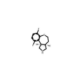 Fc1ccc(F)c2c1OCC[C@H]1CNC[C@@H]21